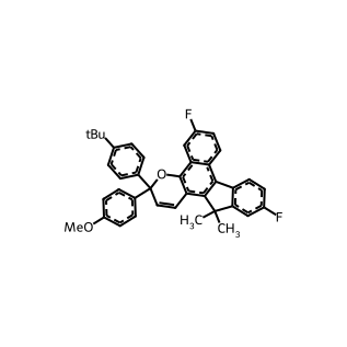 COc1ccc(C2(c3ccc(C(C)(C)C)cc3)C=Cc3c4c(c5ccc(F)cc5c3O2)-c2ccc(F)cc2C4(C)C)cc1